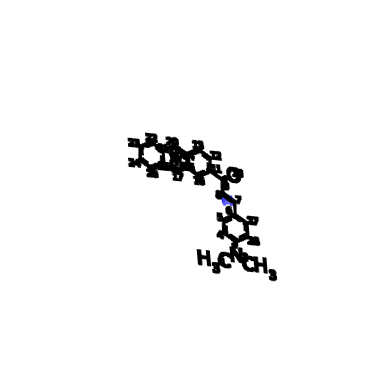 CN(C)c1ccc(/C=C/C(=O)c2ccc3c(c2)C2CCC3c3ccccc32)cc1